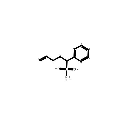 C=CCCC(c1ccccc1)S(N)(=O)=O